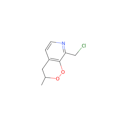 CC1Cc2ccnc(CCl)c2OO1